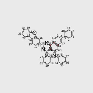 c1ccc(-c2ccc(-c3nc(-c4ccc5c(c4)oc4ccccc45)nc(-c4ccccc4N(c4ccccc4)c4ccccc4)n3)cc2)cc1